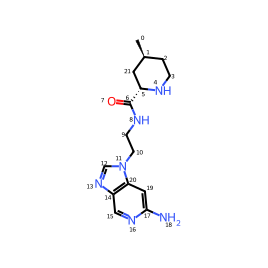 C[C@H]1CCN[C@H](C(=O)NCCn2cnc3cnc(N)cc32)C1